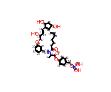 CC(NC(=O)CCC/C=C\C[C@@H]1[C@@H](/C=C/[C@@H](O)COc2cccc(C(F)(F)F)c2)[C@H](O)C[C@@H]1O)C(=O)Oc1ccc(CON(O)O)cc1